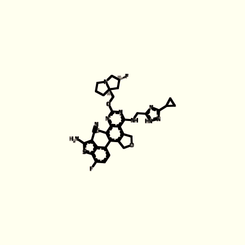 N#Cc1c(N)sc2c(F)ccc(-c3c4c(c5c(NCc6nc(C7CC7)n[nH]6)nc(OC[C@@]67CCCN6C[C@H](F)C7)nc5c3Cl)COC4)c12